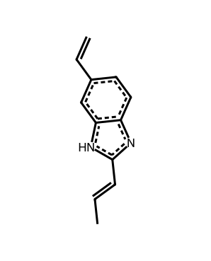 C=Cc1ccc2nc(C=CC)[nH]c2c1